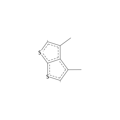 Cc1[c]sc2s[c]c(C)c12